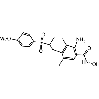 COc1ccc(S(=O)(=O)C(C)Cc2c(C)cc(C(=O)NO)c(N)c2C)cc1